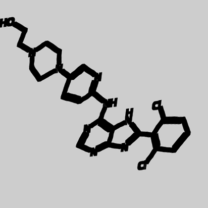 OCCN1CCN(c2ccc(Nc3ncnc4nc(-c5c(Cl)cccc5Cl)[nH]c34)nc2)CC1